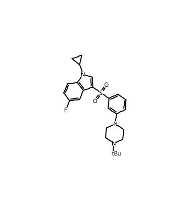 CC(C)(C)N1CCN(c2cccc(S(=O)(=O)c3cn(C4CC4)c4ccc(F)cc34)c2)CC1